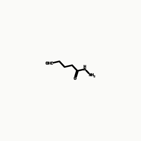 NNC(=O)CCCC=O